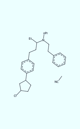 CC#N.CCCN(CCc1ccccc1)C(CC)CCc1ccc(C2CCC(Cl)C2)cc1